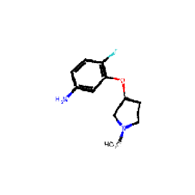 Nc1ccc(F)c(O[C@H]2CCN(C(=O)O)C2)c1